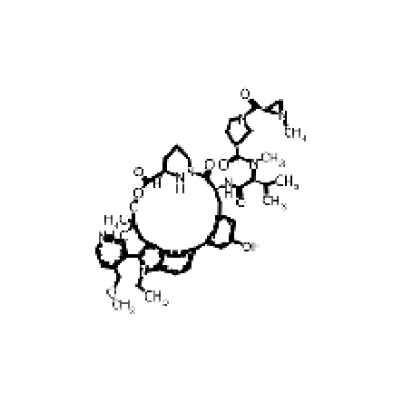 CCn1c(-c2cnccc2COC)c2c3cc(ccc31)-c1cc(O)cc(c1)C[C@H](NC(=O)[C@H](C(C)C)N(C)C(=O)[C@H]1CCN(C(=O)[C@H]3CN3C)C1)C(=O)N1CCC[C@H](N1)C(=O)OCC(C)(C)C2